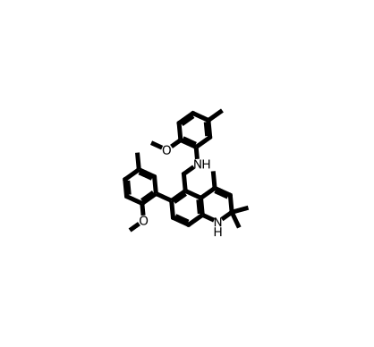 COc1ccc(C)cc1NCc1c(-c2cc(C)ccc2OC)ccc2c1C(C)=CC(C)(C)N2